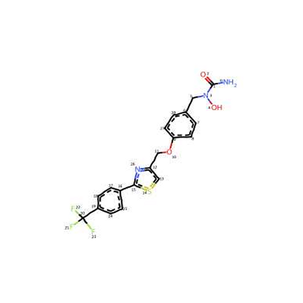 NC(=O)N(O)Cc1ccc(OCc2csc(-c3ccc(C(F)(F)F)cc3)n2)cc1